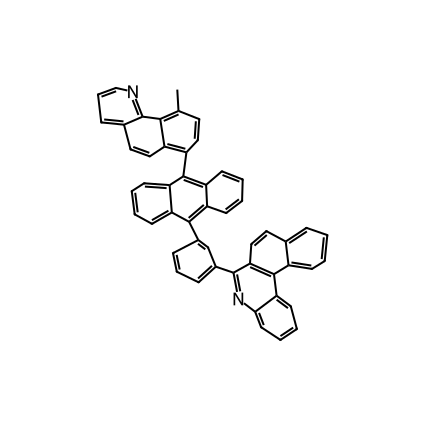 Cc1ccc(-c2c3ccccc3c(-c3cccc(-c4nc5ccccc5c5c4ccc4ccccc45)c3)c3ccccc23)c2ccc3cccnc3c12